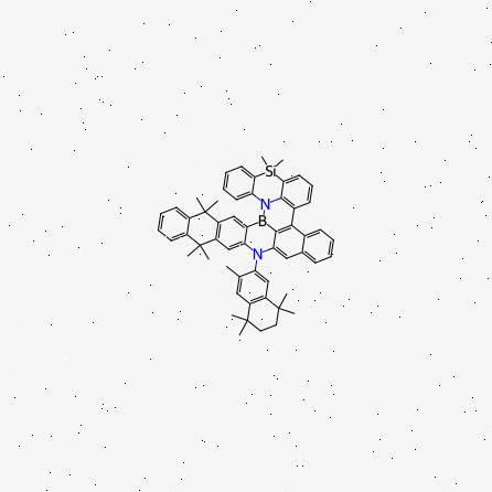 Cc1cc2c(cc1N1c3cc4c(cc3B3c5c1cc1ccccc1c5-c1cccc5c1N3c1ccccc1[Si]5(C)C)C(C)(C)c1ccccc1C4(C)C)C(C)(C)CCC2(C)C